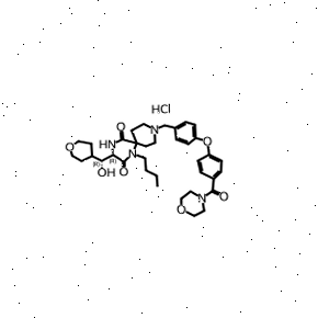 CCCCN1C(=O)[C@@H]([C@H](O)C2CCOCC2)NC(=O)C12CCN(Cc1ccc(Oc3ccc(C(=O)N4CCOCC4)cc3)cc1)CC2.Cl